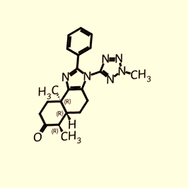 C[C@H]1C(=O)CC[C@@]2(C)c3nc(-c4ccccc4)n(-c4nnn(C)n4)c3CC[C@H]12